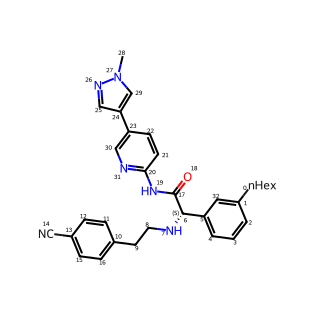 CCCCCCc1cccc([C@H](NCCc2ccc(C#N)cc2)C(=O)Nc2ccc(-c3cnn(C)c3)cn2)c1